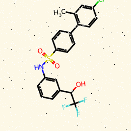 Cc1cc(Cl)ccc1-c1ccc(S(=O)(=O)Nc2cccc(C(O)C(F)(F)F)c2)cc1